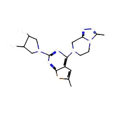 CCCc1cc2c(N3CCn4c(nnc4C(F)(F)F)C3)nc(N3CC(NC(C)=O)C(NC(C)=O)C3)nc2s1